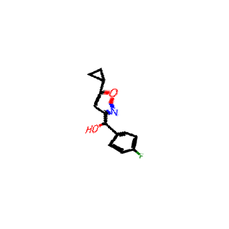 OC(c1ccc(F)cc1)c1cc(C2CC2)on1